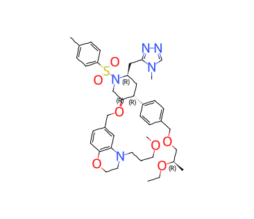 CCO[C@H](C)COCc1ccc([C@H]2C[C@H](Cc3nncn3C)N(S(=O)(=O)c3ccc(C)cc3)C[C@@H]2OCc2ccc3c(c2)N(CCCOC)CCO3)cc1